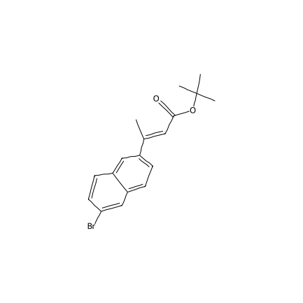 C/C(=C\C(=O)OC(C)(C)C)c1ccc2cc(Br)ccc2c1